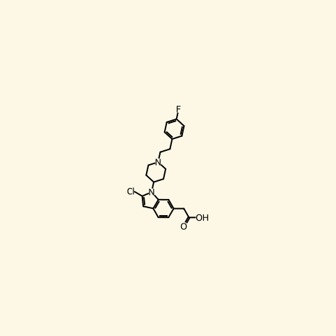 O=C(O)Cc1ccc2cc(Cl)n(C3CCN(CCc4ccc(F)cc4)CC3)c2c1